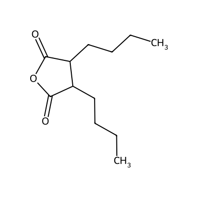 CCCCC1C(=O)OC(=O)C1CCCC